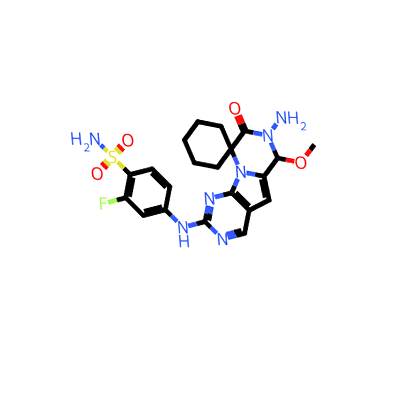 COC1c2cc3cnc(Nc4ccc(S(N)(=O)=O)c(F)c4)nc3n2C2(CCCCC2)C(=O)N1N